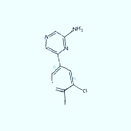 C=C(C)/C(Cl)=C\C(=C/C)c1cncc(N)n1